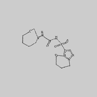 O=C(NN1CCCCCC1)NS(=O)(=O)c1cnn2c1OCCC2